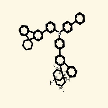 C[C@@H]1C[C@H]2C[C@@H](C1)[C@@]1(c3ccccc3-c3cc(-c4ccc(N(c5ccc(-c6ccccc6)cc5)c5cccc(-c6ccc7c(c6)-c6ccccc6C76CCCCC6)c5)cc4)ccc31)[C@@H](C)C2